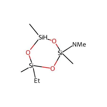 CC[Si]1(C)O[SiH](C)O[Si](C)(NC)O1